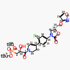 CC(C)(C)OP(=O)(C[C@@H](O)C(=O)N1CC=C(c2ccc(N3C[C@H](COc4ccon4)OC3=O)cc2F)CC1)OC(C)(C)C